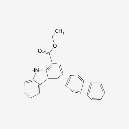 CCOC(=O)c1cccc2c1[nH]c1ccccc12.c1ccccc1.c1ccccc1